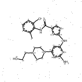 Cc1cccc(Cl)c1NC(=O)c1cnc(Nc2cc(N3CCN(CCO)CC3)nc(N)n2)s1